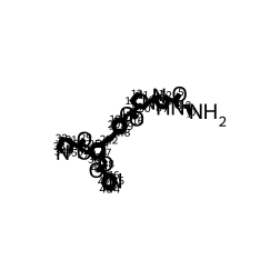 NCCNC(=O)c1ccc(-[n+]2cccc(C(=O)Oc3ccc(/C=C/c4cc(OC(=O)c5cccnc5)cc(OC(=O)c5cccnc5)c4)cc3)c2)nc1